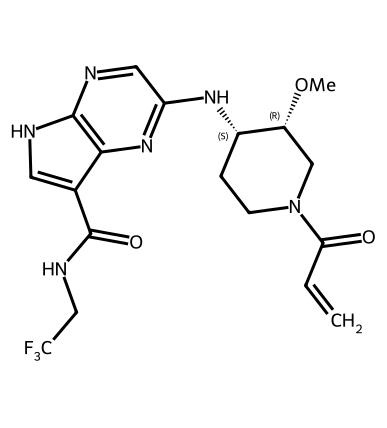 C=CC(=O)N1CC[C@H](Nc2cnc3[nH]cc(C(=O)NCC(F)(F)F)c3n2)[C@H](OC)C1